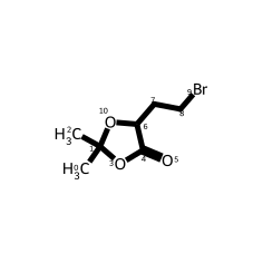 CC1(C)OC(=O)C(CCBr)O1